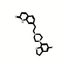 O=c1ccc2ccc(CCN3CCN(c4cc(F)cc5c4OCC5)CC3)cc2[nH]1